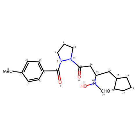 COc1ccc(C(=O)N2CCCN2C(=O)CC(CC2CCCC2)N(O)C=O)cc1